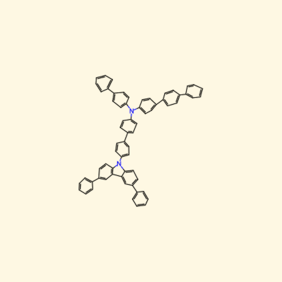 c1ccc(-c2ccc(-c3ccc(N(c4ccc(-c5ccccc5)cc4)c4ccc(-c5ccc(-n6c7ccc(-c8ccccc8)cc7c7cc(-c8ccccc8)ccc76)cc5)cc4)cc3)cc2)cc1